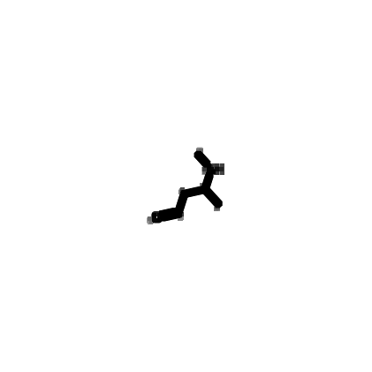 CNC(C)C[C]=O